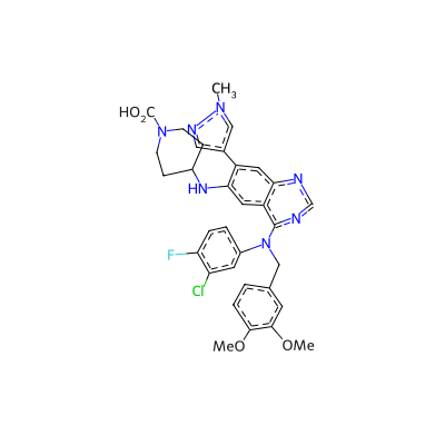 COc1ccc(CN(c2ccc(F)c(Cl)c2)c2ncnc3cc(-c4cnn(C)c4)c(NC4CCN(C(=O)O)CC4)cc23)cc1OC